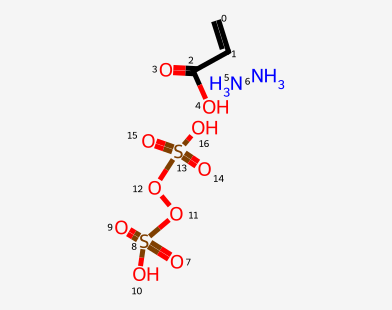 C=CC(=O)O.N.N.O=S(=O)(O)OOS(=O)(=O)O